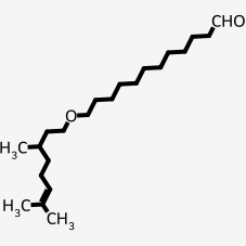 CC(C)=CCCC(C)CCOCCCCCCCCCCCC=O